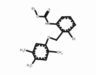 CCOC(=S)Nc1cccc(CC)c1COc1cc(C)c(C)cc1C